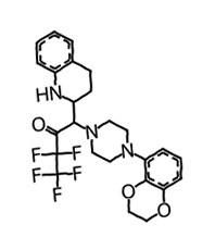 O=C(C(C1CCc2ccccc2N1)N1CCN(c2cccc3c2OCCO3)CC1)C(F)(F)C(F)(F)F